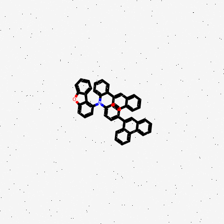 c1ccc(N(c2ccc(-c3cc4ccccc4c4ccccc34)cc2)c2cccc3oc4ccccc4c23)c(-c2ccc3ccccc3c2)c1